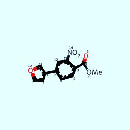 COC(=O)c1ccc(-c2ccoc2)cc1[N+](=O)[O-]